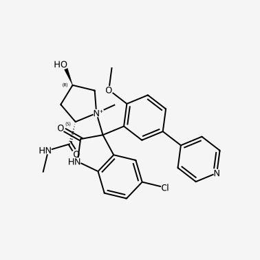 CNC(=O)[C@@H]1C[C@@H](O)C[N+]1(C)C1(c2cc(-c3ccncc3)ccc2OC)C(=O)Nc2ccc(Cl)cc21